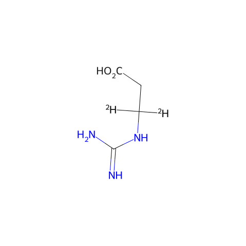 [2H]C([2H])(CC(=O)O)NC(=N)N